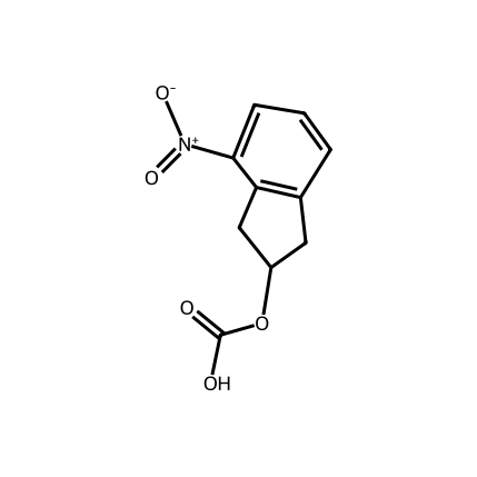 O=C(O)OC1Cc2cccc([N+](=O)[O-])c2C1